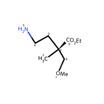 CCOC(=O)[C@@](C)(CCN)COC